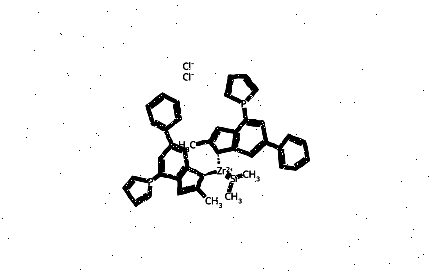 CC1=Cc2c(cc(-c3ccccc3)cc2-p2cccc2)[C@@H]1[Zr+2]([C@H]1C(C)=Cc2c1cc(-c1ccccc1)cc2-p1cccc1)=[Si](C)C.[Cl-].[Cl-]